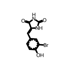 O=C1NC(=O)C(=Cc2ccc(O)c(Br)c2)N1